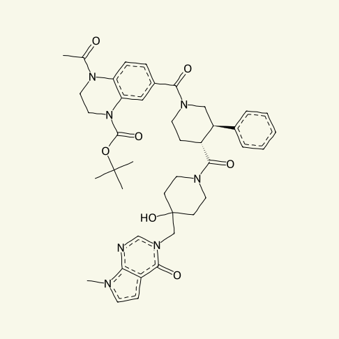 CC(=O)N1CCN(C(=O)OC(C)(C)C)c2cc(C(=O)N3CC[C@@H](C(=O)N4CCC(O)(Cn5cnc6c(ccn6C)c5=O)CC4)[C@H](c4ccccc4)C3)ccc21